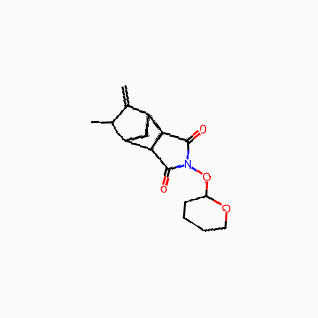 C=C1C(C)C2CC1C1C(=O)N(OC3CCCCO3)C(=O)C21